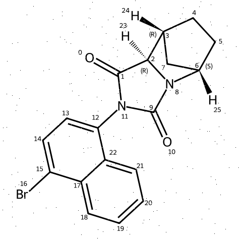 O=C1[C@H]2[C@@H]3CC[C@@H](C3)N2C(=O)N1c1ccc(Br)c2ccccc12